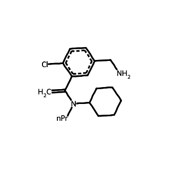 C=C(c1cc(CN)ccc1Cl)N(CCC)C1CCCCC1